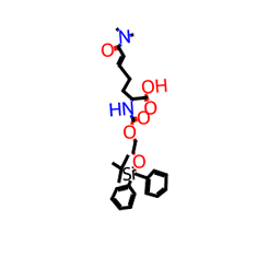 CN(C)C(=O)/C=C/CCC(NC(=O)OCCO[Si](c1ccccc1)(c1ccccc1)C(C)(C)C)C(=O)O